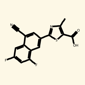 Cc1nc(-c2cc(C#N)c3cc(F)cc(F)c3c2)sc1C(=O)O